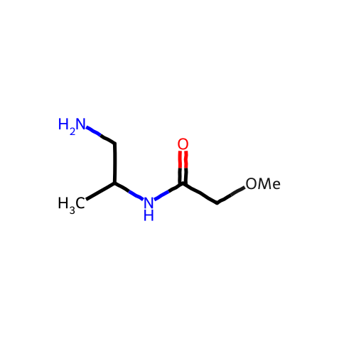 COCC(=O)NC(C)CN